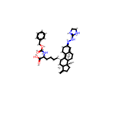 C=C1CC[C@H]2[C@@H]3CCC4=C/C(=N\NC5=NCCN5)CCC4=C3[C@@H](CCCCC(NC(=O)OCc3ccccc3)C(=O)O)C[C@]12C